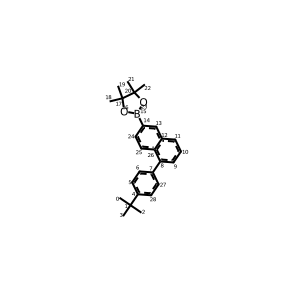 CC(C)(C)c1ccc(-c2cccc3cc(B4OC(C)(C)C(C)(C)O4)ccc23)cc1